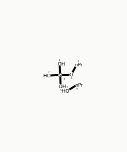 CCCO.CCCO[Si](O)(O)O